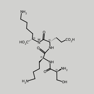 NCCCC[C@H](NC(=O)[C@H](CCC(=O)O)NC(=O)[C@H](CCCCN)NC(=O)[C@@H](N)CO)C(=O)O